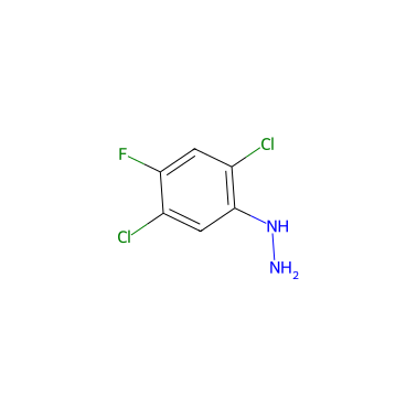 NNc1cc(Cl)c(F)cc1Cl